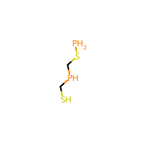 PSCPCS